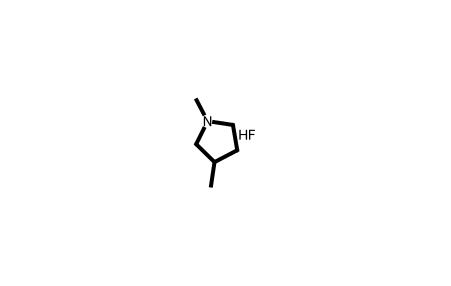 CC1CCN(C)C1.F